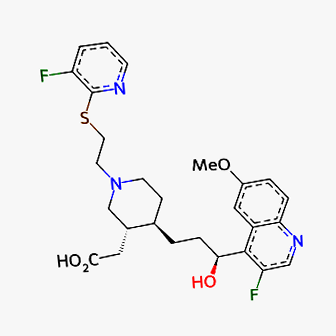 COc1ccc2ncc(F)c([C@@H](O)CC[C@@H]3CCN(CCSc4ncccc4F)C[C@H]3CC(=O)O)c2c1